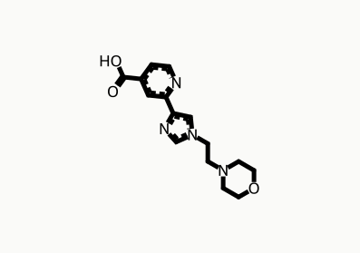 O=C(O)c1ccnc(-c2cn(CCN3CCOCC3)cn2)c1